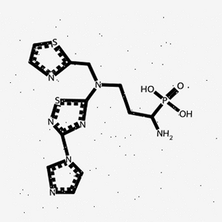 NC(CCN(Cc1nccs1)c1nc(-n2ccnc2)ns1)P(=O)(O)O